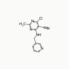 Cc1nc(Cl)c(C#N)c(NCc2cccnc2)n1